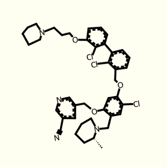 C[C@@H]1CCCCN1Cc1cc(Cl)c(OCc2cccc(-c3cccc(OCCCN4CCCCC4)c3Cl)c2Cl)cc1OCc1cncc(C#N)c1